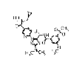 C[C@H](NC(=O)c1cc(OC(F)(F)F)cc(S(C)(=O)=O)c1)c1nc(N(C)C)nn1-c1ccc(C(=O)N(C)CC2CC2)cn1